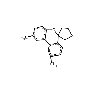 Cc1ccc2c(c1)-c1cc(C)ccc1C1(CCCC1)O2